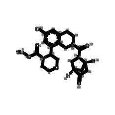 CC(C)(C)OC(=O)N1CCOCC1c1cc(Cl)cc2c1CN(C(=O)N1C[C@@H]3C[C@H]1CC3=O)CC2